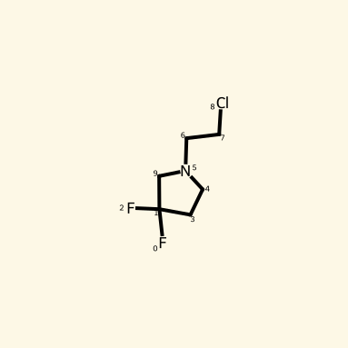 FC1(F)CCN(CCCl)C1